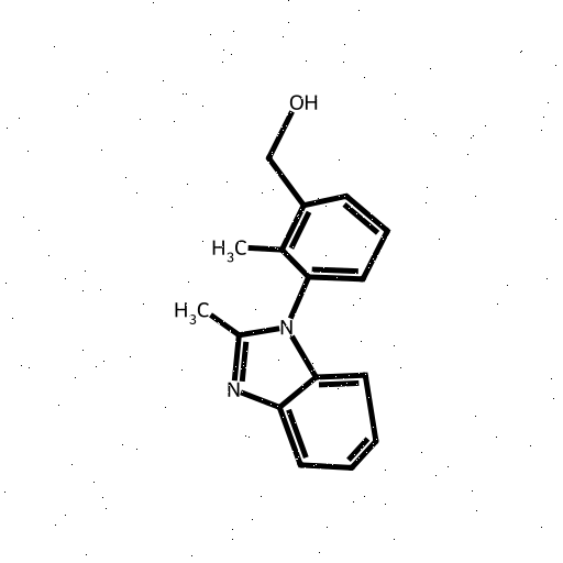 Cc1c(CO)cccc1-n1c(C)nc2ccccc21